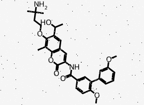 COc1cccc(-c2cc(C(=O)Nc3cc4cc(C(C)O)c(OCCC(C)(C)N)c(C)c4oc3=O)ccc2OC)c1